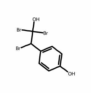 Oc1ccc(C(Br)C(O)(Br)Br)cc1